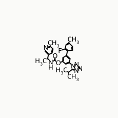 Cc1ccc(-c2cc(OC(=O)NC(C)c3ccc(C)nc3)cc(-n3nnnc3C(C)C)c2)c(F)c1